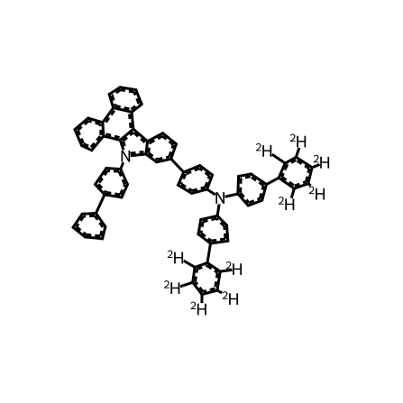 [2H]c1c([2H])c([2H])c(-c2ccc(N(c3ccc(-c4ccc5c6c7ccccc7c7ccccc7c6n(-c6ccc(-c7ccccc7)cc6)c5c4)cc3)c3ccc(-c4c([2H])c([2H])c([2H])c([2H])c4[2H])cc3)cc2)c([2H])c1[2H]